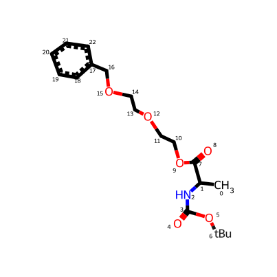 CC(NC(=O)OC(C)(C)C)C(=O)OCCOCCOCc1ccccc1